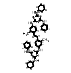 Cc1cc(Nc2nc(Nc3ccccc3)nc(NC3CCCCC3)n2)ccc1C=Cc1ccc(Nc2nc(Nc3ccccc3)nc(NC3CCCCC3)n2)cc1C